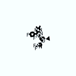 Cc1nc2nc(N3C[C@@H](c4cnn(C(F)F)c4)O[C@@H](C4CC4)C3)nc(-c3ccc(F)cc3F)c2nc1C